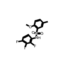 COc1ccc(C)cc1S(=O)(=O)Nc1ccc(F)c(I)c1F